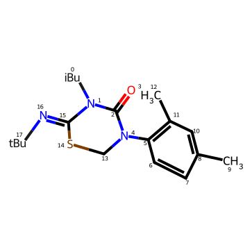 CCC(C)N1C(=O)N(c2ccc(C)cc2C)CS/C1=N\C(C)(C)C